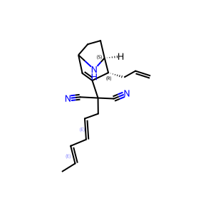 C=CC[C@@H]1C(C(C#N)(C#N)C/C=C/C=C/C)=CC2CC[C@@H]1N2